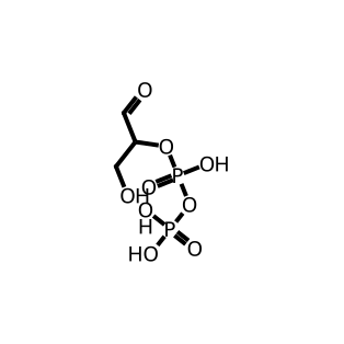 O=CC(CO)OP(=O)(O)OP(=O)(O)O